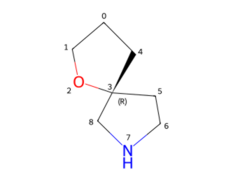 C1CO[C@]2(C1)CCNC2